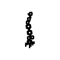 O=C(Oc1cc(F)c(F)c(F)c1)C1CCC(C2CCC(OCOCC3CO3)CC2)CC1